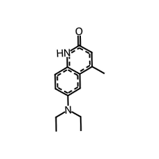 CCN(CC)c1ccc2[nH]c(=O)cc(C)c2c1